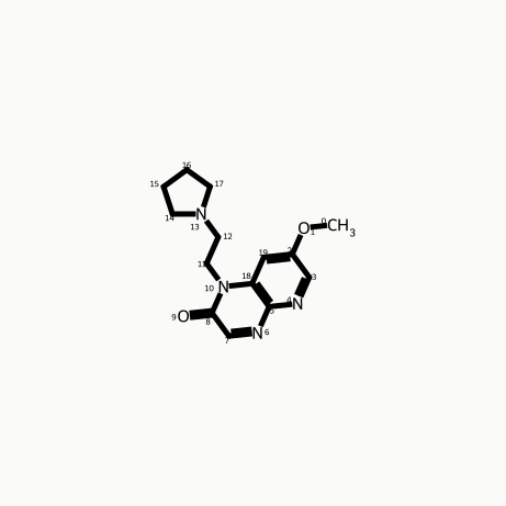 COc1cnc2ncc(=O)n(CCN3CCCC3)c2c1